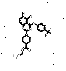 CCOC(=O)C1CCN(c2nc(Nc3ccc(C(F)(F)F)cc3)c3c(=O)[nH]ccc3n2)CC1